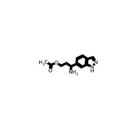 CC(=O)OCCC(N)c1ccc2cn[nH]c2c1